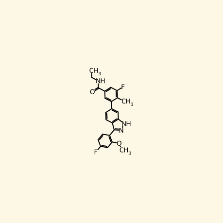 CCNC(=O)c1cc(F)c(C)c(-c2ccc3c(-c4ccc(F)cc4OC)n[nH]c3c2)c1